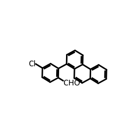 O=Cc1ccc(Cl)cc1-c1cccc2c1ccc1ccccc12